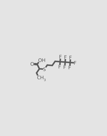 CCC(SCCCC(F)(F)C(F)(F)C(F)(F)F)C(=O)O